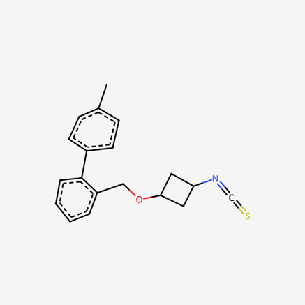 Cc1ccc(-c2ccccc2COC2CC(N=C=S)C2)cc1